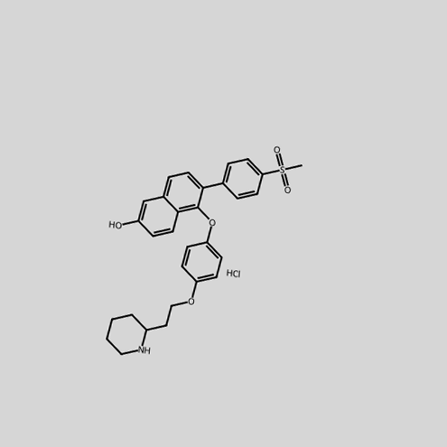 CS(=O)(=O)c1ccc(-c2ccc3cc(O)ccc3c2Oc2ccc(OCCC3CCCCN3)cc2)cc1.Cl